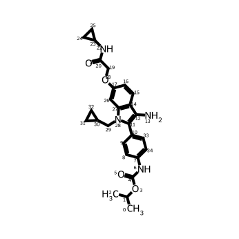 CC(C)OC(=O)Nc1ccc(-c2c(N)c3ccc(OCC(=O)NC4CC4)cc3n2CC2CC2)cc1